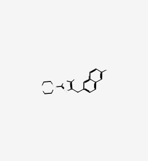 O=C(O)c1sc(N2CCOCC2)nc1Cc1ccc2cc(F)ccc2c1